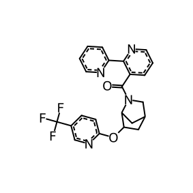 O=C(c1cccnc1-c1ccccn1)N1CC2CC(Oc3ccc(C(F)(F)F)cn3)C1C2